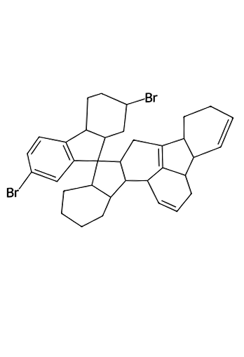 Brc1ccc2c(c1)C1(C3CC(Br)CCC23)C2CCCCC2C2C3C=CCC4C3=C(CC21)C1CCC=CC14